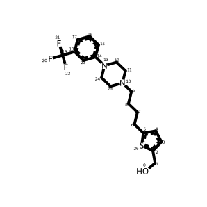 OCc1ccc(CCCCN2CCN(c3cccc(C(F)(F)F)c3)CC2)s1